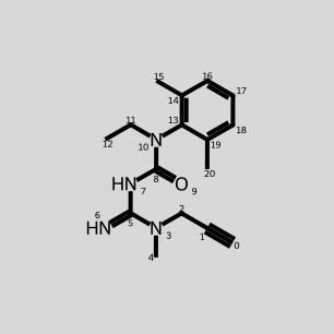 C#CCN(C)C(=N)NC(=O)N(CC)c1c(C)cccc1C